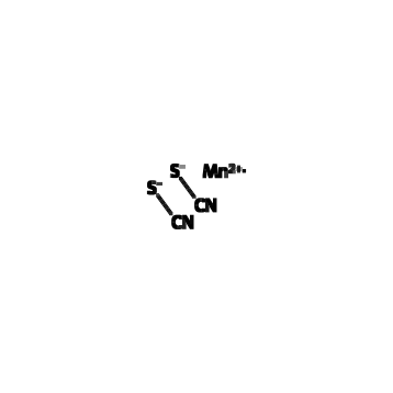 N#C[S-].N#C[S-].[Mn+2]